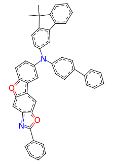 CC1(C)c2ccccc2-c2cc(N(c3ccc(-c4ccccc4)cc3)c3ccc4oc5cc6nc(-c7ccccc7)oc6cc5c4c3)ccc21